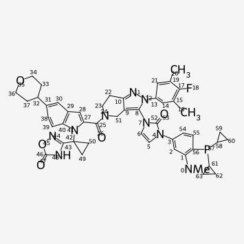 CNc1cc(-n2ccn(-c3c4c(nn3-c3cc(C)c(F)c(C)c3)CCN(C(=O)c3cc5cc(C6CCOCC6)ccc5n3C3(c5noc(=O)[nH]5)CC3)C4)c2=O)ccc1P(C1CC1)C1CC1